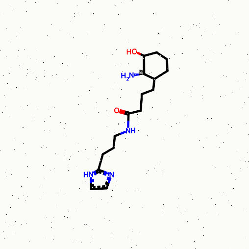 N[C@H]1C(O)CCCC1CCCC(=O)NCCCc1ncc[nH]1